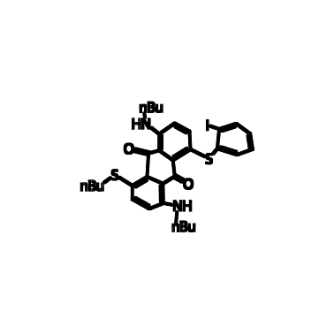 CCCCNc1ccc(SCCCC)c2c1C(=O)c1c(Sc3ccccc3I)ccc(NCCCC)c1C2=O